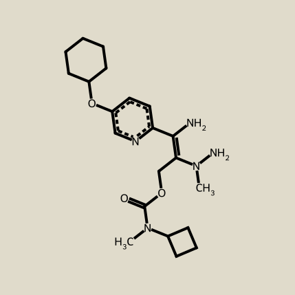 CN(N)/C(COC(=O)N(C)C1CCC1)=C(\N)c1ccc(OC2CCCCC2)cn1